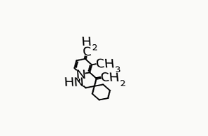 C=C1C=CN2NCC3(CCCCC3)C(=C)C2=C1C